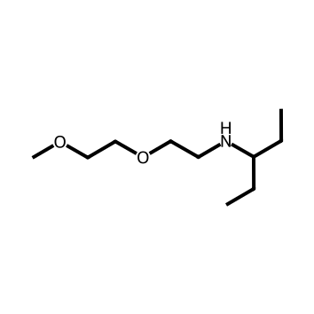 CCC(CC)NCCOCCOC